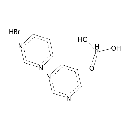 Br.O=[PH](O)O.c1cncnc1.c1cncnc1